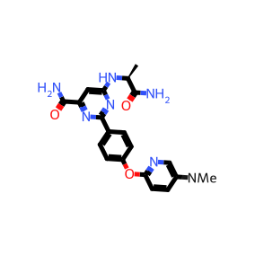 CNc1ccc(Oc2ccc(-c3nc(N[C@@H](C)C(N)=O)cc(C(N)=O)n3)cc2)nc1